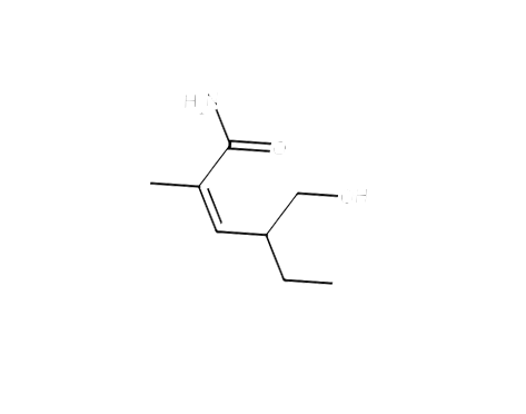 CCC(C=C(C)C(N)=O)CO